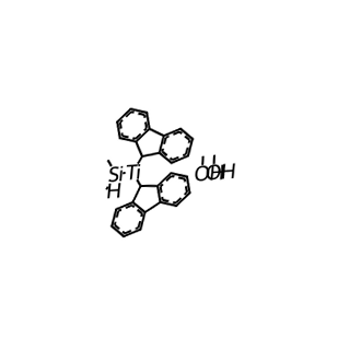 CO.CO.C[SiH](C)[Ti]([CH]1c2ccccc2-c2ccccc21)[CH]1c2ccccc2-c2ccccc21